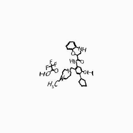 CN1CCN(Cc2cc(C3CCCC3)c(O)cc2NC(=O)C2CNc3ccccc3O2)CC1.O=C(O)C(F)(F)F